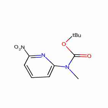 CN(C(=O)OC(C)(C)C)c1cccc([N+](=O)[O-])n1